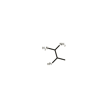 [CH2]CCC(C)C(N)N